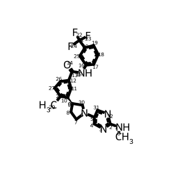 CNc1ncc(N2CC[C@@H](c3cc(C(=O)Nc4cccc(C(F)(F)F)c4)ccc3C)C2)cn1